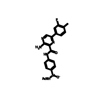 CC(=O)N[S+]([O-])c1ccc(NC(=O)c2nc(-c3ccc(C)c(F)c3)cnc2N)cc1